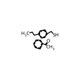 CC(=O)c1ccccc1.CCCc1ccc(CS)cc1